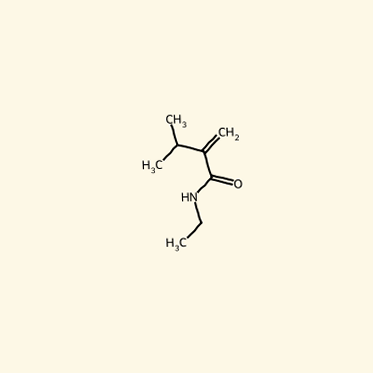 C=C(C(=O)NCC)C(C)C